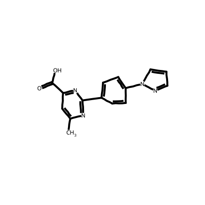 Cc1cc(C(=O)O)nc(-c2ccc(-n3cccn3)cc2)n1